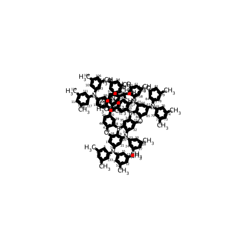 Cc1cc(C)cc(N(c2cc(C)cc(C)c2)c2cc3c4c(c2)N(c2cc(C)cc(C)c2)c2cc5c(cc2B4c2cc(C(C)(C)C)ccc2O3)B2c3cc4c(cc3N(c3cc(C)cc(C)c3)c3cc(N(c6cc(C)cc(C)c6)c6cc(C)cc(C)c6)cc(c32)O5)N(c2cc(C)cc(C)c2)c2cc(N(c3cc(C)cc(C)c3)c3cc(C)cc(C)c3)cc3c2B4c2cc(C(C)(C)C)ccc2O3)c1